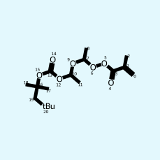 C=C(C)C(=O)OOC(C)OC(C)OC(=O)OC(C)(C)CC(C)(C)C